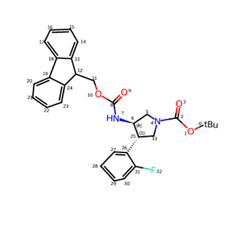 CC(C)(C)OC(=O)N1C[C@H](NC(=O)OCC2c3ccccc3-c3ccccc32)[C@@H](c2ccccc2F)C1